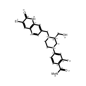 CCc1cc2ncc(CN3CCN(c4ccc(C(=O)NC)c(F)c4)C[C@@H]3CO)cc2[nH]c1=O